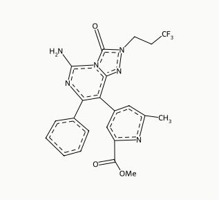 COC(=O)c1cc(-c2c(-c3ccccc3)nc(N)n3c(=O)n(CCC(F)(F)F)nc23)cc(C)n1